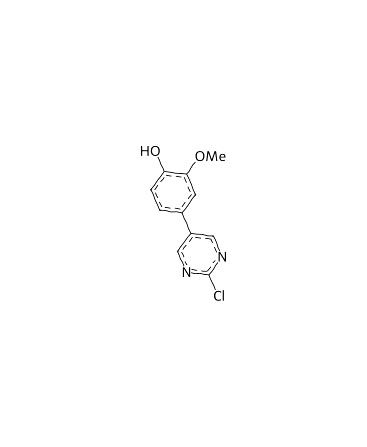 COc1cc(-c2cnc(Cl)nc2)ccc1O